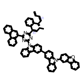 C=C/C=C\C(=C)c1ccccc1/C(=C\CC)c1nc(-c2cc3ccccc3c3ccccc23)nc(-n2c3ccccc3c3cc(-c4ccc5c(c4)c4ccccc4n5-c4ccc5oc6ccccc6c5c4)ccc32)n1